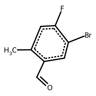 Cc1cc(F)c(Br)cc1C=O